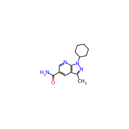 Cc1nn(C2CCCCC2)c2ncc(C(N)=O)cc12